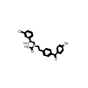 O=C(c1ccc(O)cc1)c1ccc(CCN(C[C@@H](O)c2cccc(Cl)c2)C(=O)O)cc1